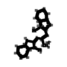 CCN1/C(=C\C(C)=C/c2sc3ccccc3[n+]2CC)Sc2ccccc21.[I-]